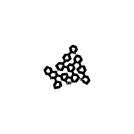 Oc1cc(-c2nc3ccccc3nc2-c2ccccc2)ccc1-c1ccccc1-c1cc(-c2ccccc2-c2ccc(-c3ccccn3)cc2)cc(-c2ccccc2-c2ccc(-c3ccccn3)cc2)c1